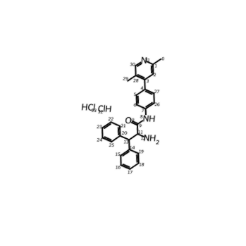 Cc1cc(-c2ccc(NC(=O)C(N)C(c3ccccc3)c3ccccc3)cc2)c(C)cn1.Cl.Cl